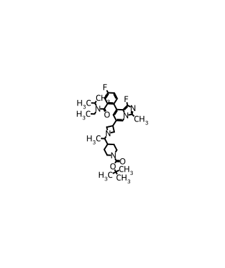 CCN(C(=O)c1cc(F)ccc1-c1cc(C2CN(C(C)C3CCN(C(=O)OC(C)(C)C)CC3)C2)cn2c(C)nc(F)c12)C(C)C